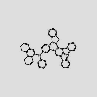 C1=Cc2cc(N(c3ccccc3)c3ccc4c5c(c6c(cc7c8ccccc8n8c9ccccc9c6c78)c4c3)Cc3ccccc3-5)c3c(c2CC1)CCC=C3